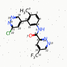 Cc1ccc(NC(=O)c2cc(C(F)(F)F)cnn2)cc1-c1cnnc(Cl)c1